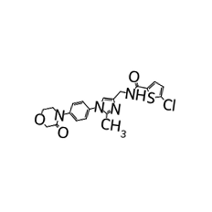 Cc1nc(CNC(=O)c2ccc(Cl)s2)cn1-c1ccc(N2CCOCC2=O)cc1